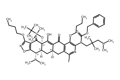 CCCCOc1noc2c1C(=O)[C@@]1(O[Si](C)(C)C(C)(C)C)C(O)=C3C(=O)c4c(c(F)nc(N(CC(C)(C)CN(C)C)C(=O)OCc5ccccc5)c4OCCCC)C[C@H]3C[C@H]1[C@@H]2N(C)C